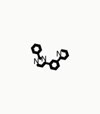 c1ccc(-c2nccc(-c3cccc(-c4ccccn4)c3)n2)cc1